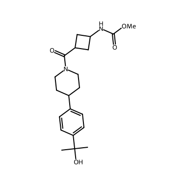 COC(=O)NC1CC(C(=O)N2CCC(c3ccc(C(C)(C)O)cc3)CC2)C1